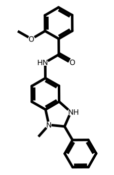 COc1ccccc1C(=O)Nc1ccc2c(c1)NC(c1ccccc1)N2C